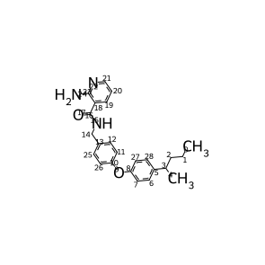 CCCC(C)c1ccc(Oc2ccc(CNC(=O)c3cccnc3N)cc2)cc1